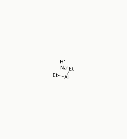 C[CH2][Al][CH2]C.[H-].[Na+]